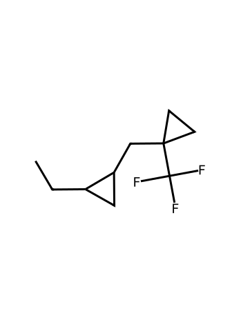 CCC1CC1CC1(C(F)(F)F)CC1